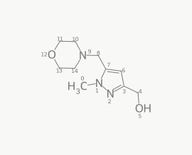 Cn1nc(CO)cc1CN1CCOCC1